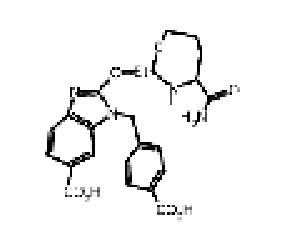 CCOc1nc2ccc(C(=O)O)cc2n1Cc1ccc(C(=O)O)cc1.NC(=O)C1CCCCCN1